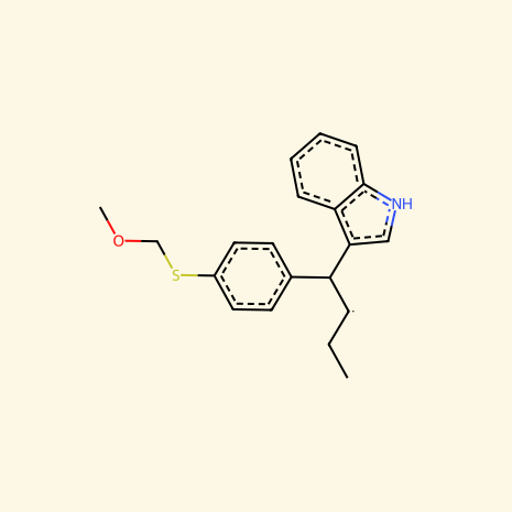 CC[CH]C(c1ccc(SCOC)cc1)c1c[nH]c2ccccc12